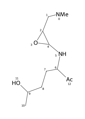 CNCC1OC1NC(CCC(C)O)C(C)=O